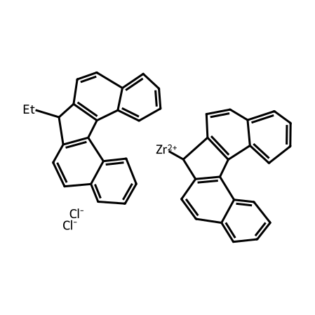 CCC1c2ccc3ccccc3c2-c2c1ccc1ccccc21.[Cl-].[Cl-].[Zr+2][CH]1c2ccc3ccccc3c2-c2c1ccc1ccccc21